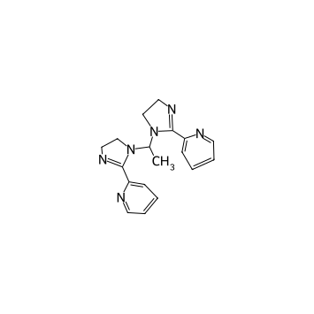 CC(N1CCN=C1c1ccccn1)N1CCN=C1c1ccccn1